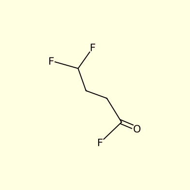 O=C(F)CCC(F)F